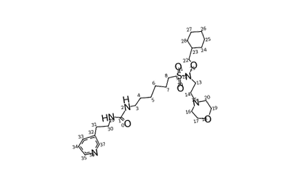 O=C(NCCCCCCS(=O)(=O)N(CCN1CCOCC1)OCC1CCCCC1)NCCc1cccnc1